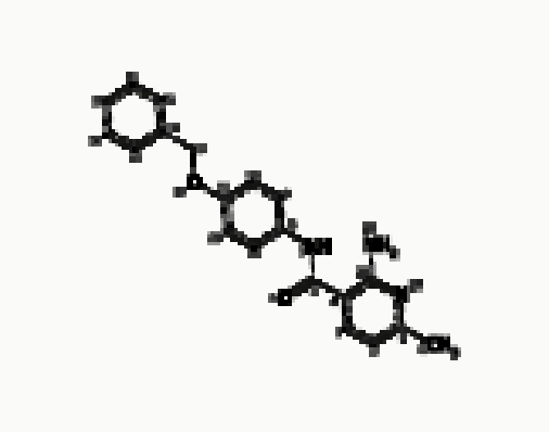 Cc1ccc(C(=O)Nc2ccc(OCc3ccccc3)cc2)c(N)n1